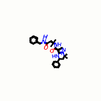 CC(C)(CC(=O)NCc1ccccc1)NC(=O)c1cnn2c1NC(c1ccccc1)CC2(C)C